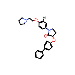 CCc1cc(N2CC[C@@H](Oc3ccc(-c4ccccc4)cc3)C2=O)ccc1OCCN1CCCC1